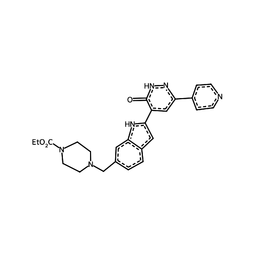 CCOC(=O)N1CCN(Cc2ccc3cc(-c4cc(-c5ccncc5)n[nH]c4=O)[nH]c3c2)CC1